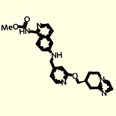 COC(=O)Nc1nccc2cc(NCc3ccnc(OC[C@H]4CCn5ccnc5C4)c3)ccc12